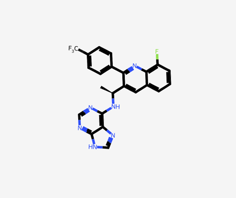 C[C@H](Nc1ncnc2[nH]cnc12)c1cc2cccc(F)c2nc1-c1ccc(C(F)(F)F)cc1